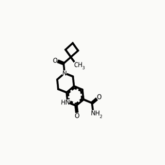 CC1(C(=O)N2CCc3[nH]c(=O)c(C(N)=O)cc3C2)CCC1